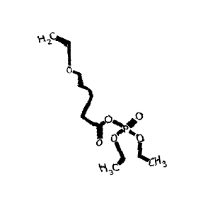 C=COCCCCC(=O)OP(=O)(OCC)OCC